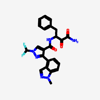 Cn1ncc2c(-c3nn(C(F)F)cc3C(=O)NC(Cc3ccccc3)C(=O)C(N)=O)cccc21